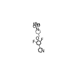 CC(C)(C)OC(=O)N1CCC(COc2c(F)cc(-c3cccnc3)cc2F)CC1